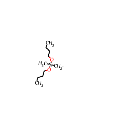 [CH2][Si](C)(OCCCC)OCCCC